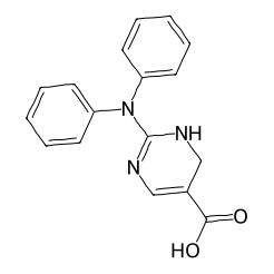 O=C(O)C1=CN=C(N(c2ccccc2)c2ccccc2)NC1